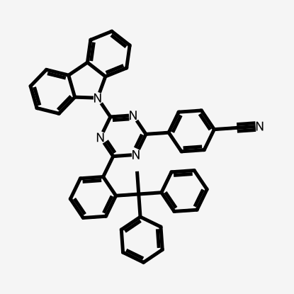 CC(c1ccccc1)(c1ccccc1)c1ccccc1-c1nc(-c2ccc(C#N)cc2)nc(-n2c3ccccc3c3ccccc32)n1